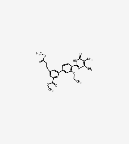 CCOc1cc(-c2cc(OCC(=O)OC)cc(C(=O)OC)c2)ccc1-c1nc(N)c(N)c(=O)[nH]1